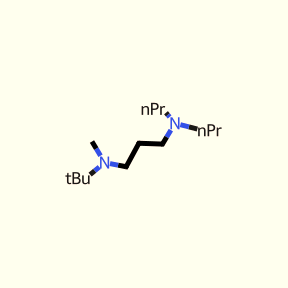 CCCN(CCC)CCCN(C)C(C)(C)C